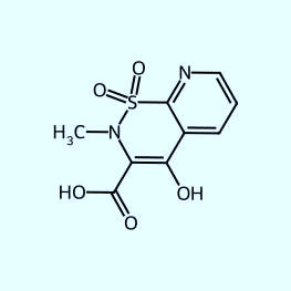 CN1C(C(=O)O)=C(O)c2cccnc2S1(=O)=O